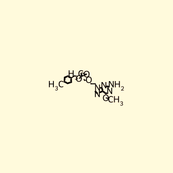 COc1nc(N)nc2c1ncn2CCOCP(C)(=O)OCc1ccc(C)cc1